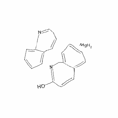 Oc1ccc2ccccc2n1.[MgH2].c1ccc2ncccc2c1